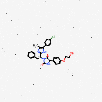 Cc1nc([C@H](Cc2ccccc2)N2C(=O)NC(c3ccc(OCCO)cc3)C2=O)[nH]c1-c1ccc(Cl)cc1